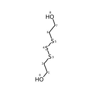 OCCSSSCCO